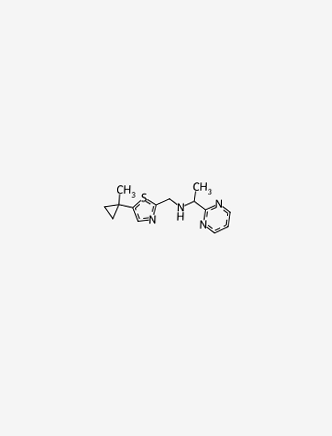 CC(NCc1ncc(C2(C)CC2)s1)c1ncccn1